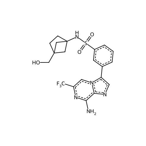 Nc1nc(C(F)(F)F)cn2c(-c3cccc(S(=O)(=O)NC45CCC(CO)(C4)C5)c3)cnc12